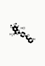 COc1cc2c(N)nc(N3CCN(C(=O)CC4CCCNC4)CC3)nc2c(F)c1OC.Cl